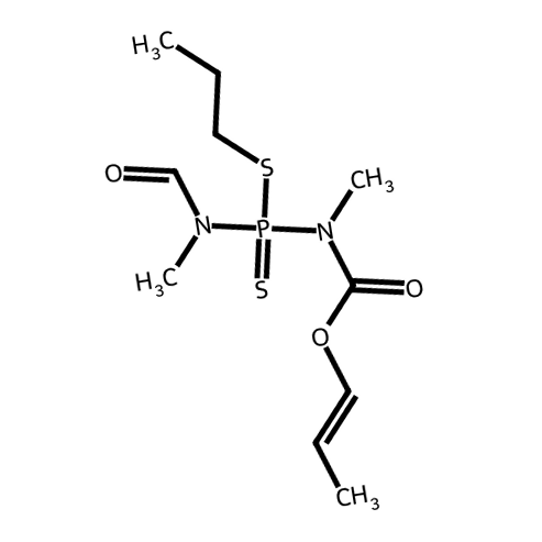 CC=COC(=O)N(C)P(=S)(SCCC)N(C)C=O